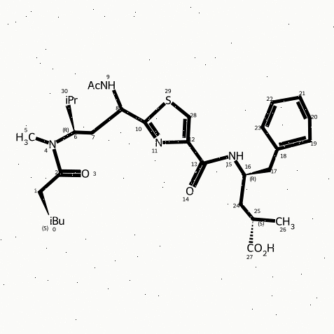 CC[C@H](C)CC(=O)N(C)[C@H](CC(NC(C)=O)c1nc(C(=O)N[C@@H](Cc2ccccc2)C[C@H](C)C(=O)O)cs1)C(C)C